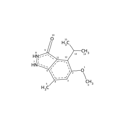 COc1cc(C)c2[nH][nH]c(=O)c2c1C(C)C